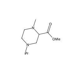 COC(=O)C1CN(C(C)C)CCN1C